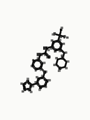 O=C(Nc1cccc(Oc2cc(-c3nnco3)ncn2)c1)Nc1cc(CN2CCOCC2)cc(C(F)(F)F)c1